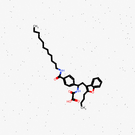 CCCCCCCCCCCCNC(=O)c1ccc(C(Cc2c(CCCC)oc3ccccc23)NC(=O)C(=O)O)cc1